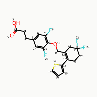 O=C(O)CCc1cc(F)c(OCC2=C(c3cccs3)CCC(F)(F)C2)c(F)c1